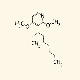 CCCCCCC(CC)c1c(OC)ccnc1OC